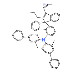 C/C=C\C1=C(CCC)C2(c3ccccc31)c1ccccc1-c1c(N(c3ccc(-c4ccccc4)cc3C)c3ccc(-c4ccccc4)cc3C)cccc12